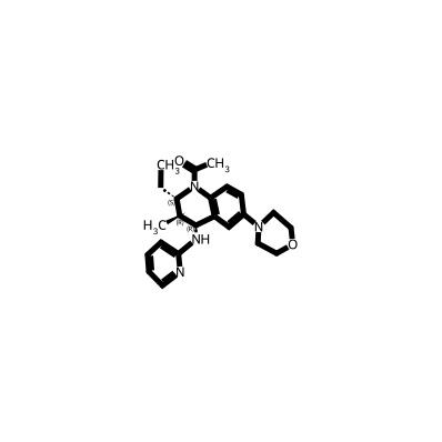 CC[C@H]1[C@H](C)[C@@H](Nc2ccccn2)c2cc(N3CCOCC3)ccc2N1C(C)=O